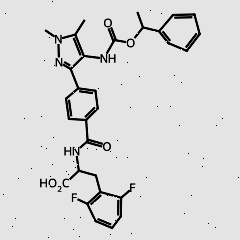 Cc1c(NC(=O)OC(C)c2ccccc2)c(-c2ccc(C(=O)NC(Cc3c(F)cccc3F)C(=O)O)cc2)nn1C